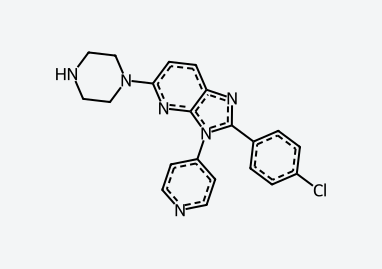 Clc1ccc(-c2nc3ccc(N4CCNCC4)nc3n2-c2ccncc2)cc1